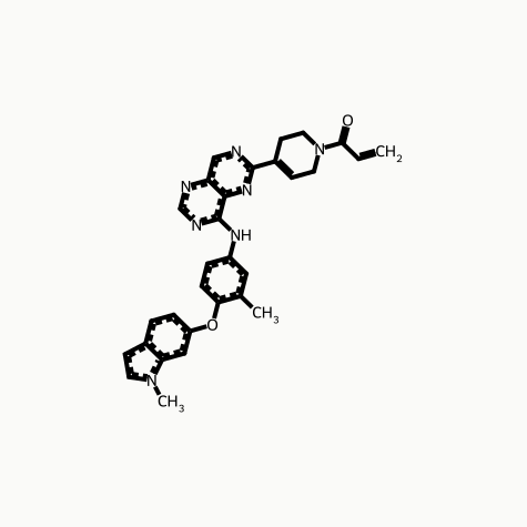 C=CC(=O)N1CC=C(c2ncc3ncnc(Nc4ccc(Oc5ccc6ccn(C)c6c5)c(C)c4)c3n2)CC1